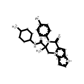 CC1CCC(NC(=O)C2(C)Cn3c(cc4occc43)C(=O)N2c2ccc(C(C)C)cc2)CC1